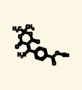 CCC(C)OC(=O)c1ccc(C(N)=C2C(=O)OC(C)(C)OC2=O)cc1